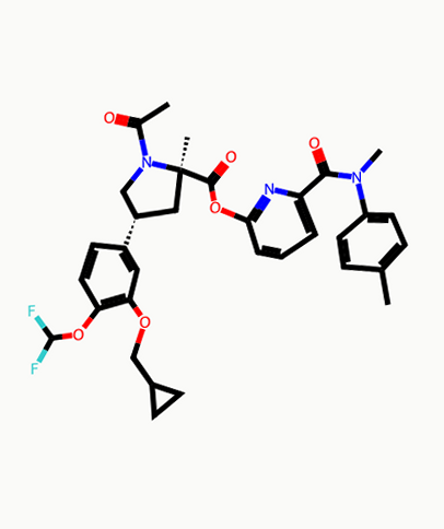 CC(=O)N1C[C@@H](c2ccc(OC(F)F)c(OCC3CC3)c2)C[C@]1(C)C(=O)Oc1cccc(C(=O)N(C)c2ccc(C)cc2)n1